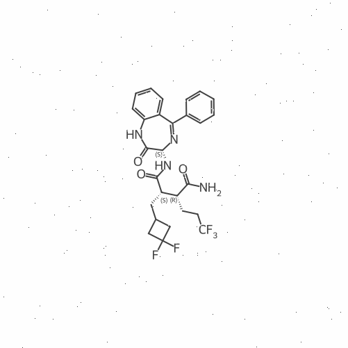 NC(=O)[C@H](CCC(F)(F)F)[C@H](CC1CC(F)(F)C1)C(=O)N[C@H]1N=C(c2ccccc2)c2ccccc2NC1=O